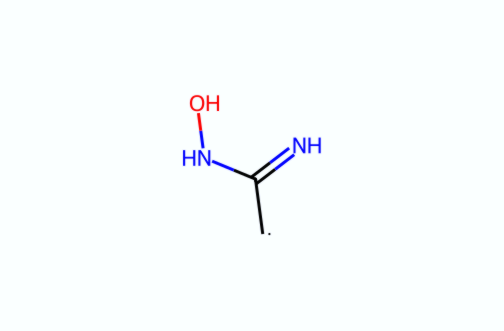 [CH2]C(=N)NO